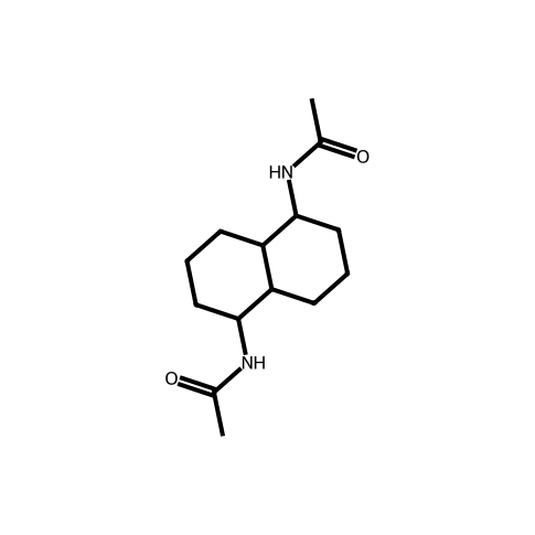 CC(=O)NC1CCCC2C(NC(C)=O)CCCC12